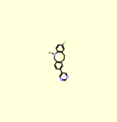 CC(=O)N1Cc2ccc(-c3cncnc3)cc2CCc2cc(Cl)ccc21